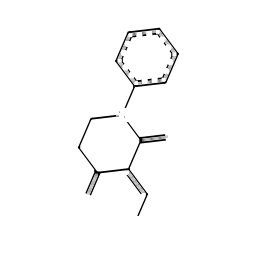 O=C1CCN(c2ccccc2)C(=O)C1=CO